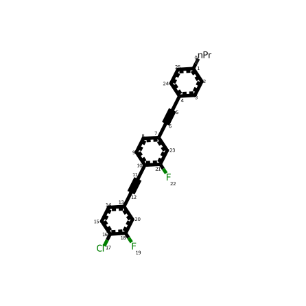 CCCc1ccc(C#Cc2ccc(C#Cc3ccc(Cl)c(F)c3)c(F)c2)cc1